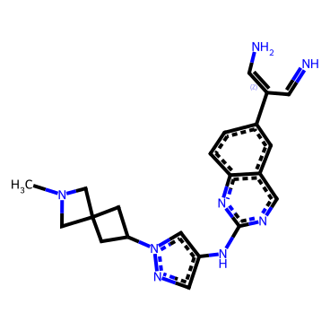 CN1CC2(CC(n3cc(Nc4ncc5cc(/C(C=N)=C/N)ccc5n4)cn3)C2)C1